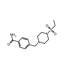 CCS(=O)(=O)N1CCN(Cc2ccc(C(N)=O)cc2)CC1